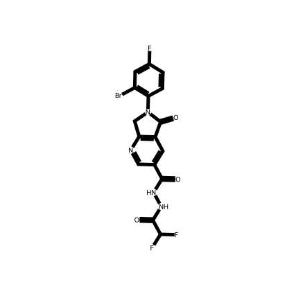 O=C(NNC(=O)C(F)F)c1cnc2c(c1)C(=O)N(c1ccc(F)cc1Br)C2